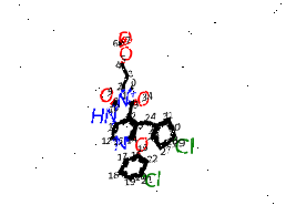 C[N+]1(CCCOC=O)C(=O)Nc2cnc(Oc3cccc(Cl)c3)c(Cc3ccc(Cl)cc3)c2C1=O